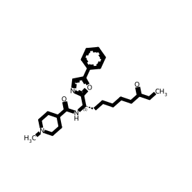 CCC(=O)CCCCC[C@H](NC(=O)C1CCN(C)CC1)c1ncc(-c2ccccc2)o1